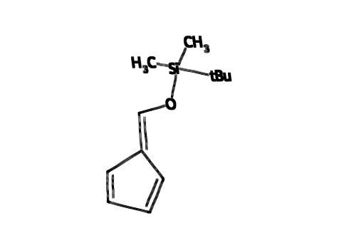 CC(C)(C)[Si](C)(C)OC=C1C=CC=C1